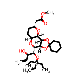 C=CC(O)C(O[Si](CC)(CC)CC)[C@@H]1O[C@H]2CC[C@H](CC(=O)OC)O[C@@H]2[C@@H]2OC3(CCCCC3)O[C@@H]21